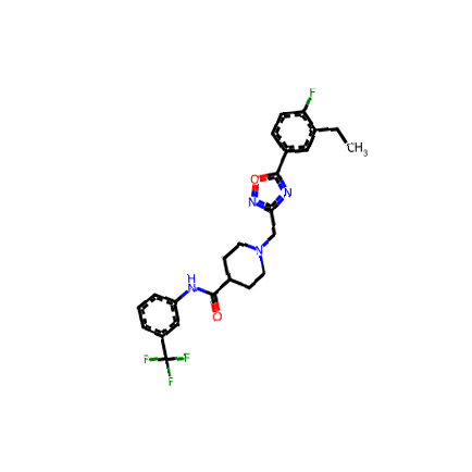 CCc1cc(-c2nc(CN3CCC(C(=O)Nc4cccc(C(F)(F)F)c4)CC3)no2)ccc1F